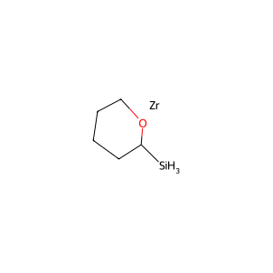 [SiH3]C1CCCCO1.[Zr]